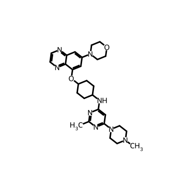 Cc1nc(NC2CCC(Oc3cc(N4CCOCC4)cc4nccnc34)CC2)cc(N2CCN(C)CC2)n1